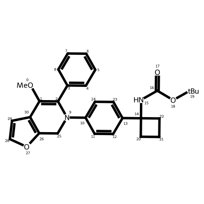 COC1=C(c2ccccc2)N(c2ccc(C3(NC(=O)OC(C)(C)C)CCC3)cc2)Cc2occc21